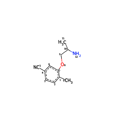 Cc1ccc(C#N)cc1OCC(C)N